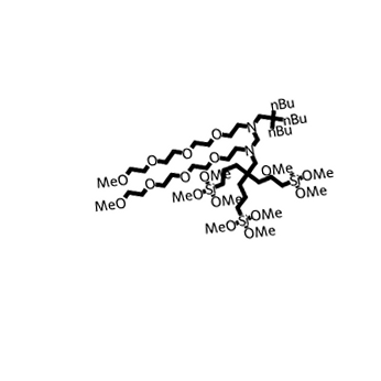 CCCCC(CCCC)(CCCC)CN(CCOCCOCCOCCOC)CN(CCOCCOCCOCCOC)CC(CCC[Si](OC)(OC)OC)(CCC[Si](OC)(OC)OC)CCC[Si](OC)(OC)OC